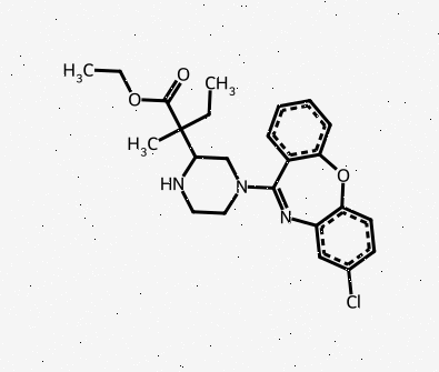 CCOC(=O)C(C)(CC)C1CN(C2=Nc3cc(Cl)ccc3Oc3ccccc32)CCN1